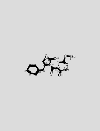 CCC[C@@H](O)[C@@H](CC(=O)OC(C)(C)C)C(=O)N1C(=O)OC[C@@H]1Cc1ccccc1